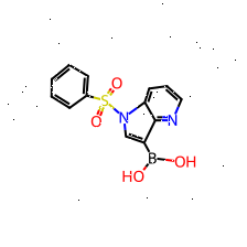 O=S(=O)(c1ccccc1)n1cc(B(O)O)c2ncccc21